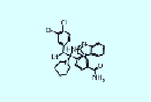 CCC(c1ccc(Cl)c(Cl)c1)C(NC1N2CCN1c1ccccc12)(c1ccc(C(N)=O)cc1)N1CCCCC1